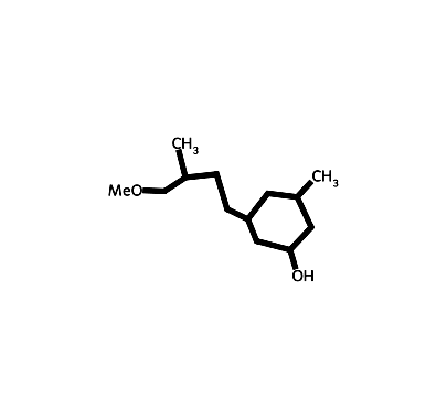 COCC(C)CCC1CC(C)CC(O)C1